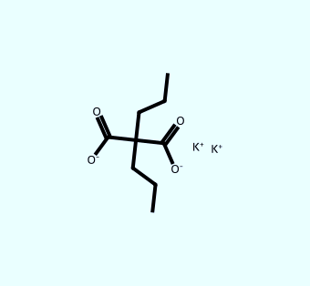 CCCC(CCC)(C(=O)[O-])C(=O)[O-].[K+].[K+]